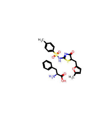 Cc1ccc(S(=O)(=O)NC2=NC(=O)C(Cc3ccc(C)o3)S2)cc1.N[C@@H](Cc1ccccc1)C(=O)O